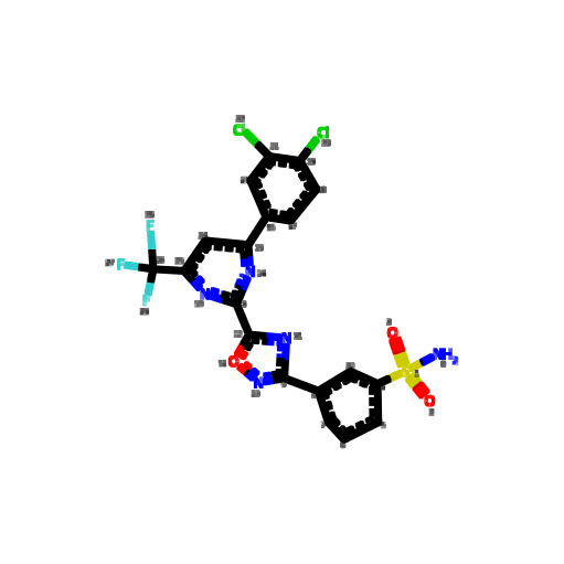 NS(=O)(=O)c1cccc(-c2noc(-c3nc(-c4ccc(Cl)c(Cl)c4)cc(C(F)(F)F)n3)n2)c1